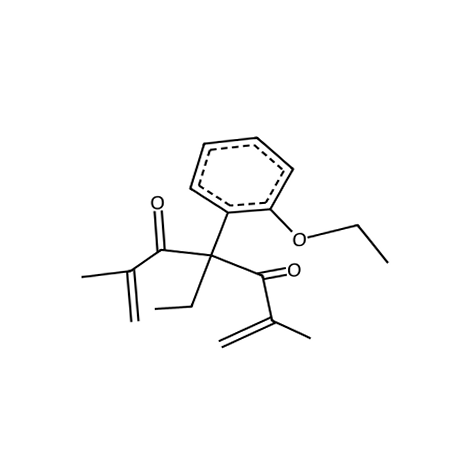 C=C(C)C(=O)C(CC)(C(=O)C(=C)C)c1ccccc1OCC